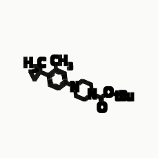 Cc1cc(N2CCN(C(=O)OC(C)(C)C)CC2)ccc1C1(C)CC1